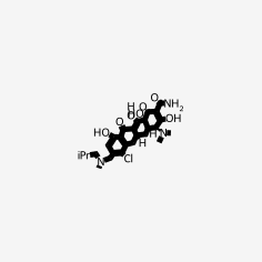 CC(C)CN(C)Cc1cc(O)c2c(c1Cl)C[C@H]1C[C@H]3[C@H](N(C)C)C(O)=C(C(N)=O)C(=O)[C@@]3(O)C(O)=C1C2=O